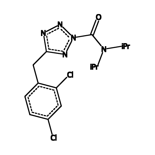 CC(C)N(C(=O)n1nnc(Cc2ccc(Cl)cc2Cl)n1)C(C)C